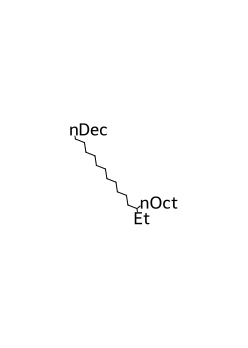 [CH2]CC(CCCCCCCC)CCCCCCCCCCCCCCCCCCCCC